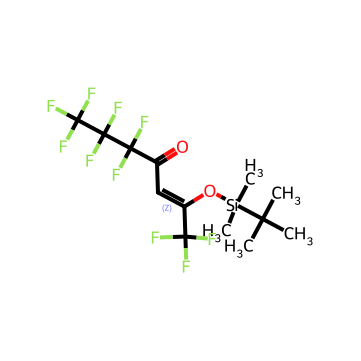 CC(C)(C)[Si](C)(C)O/C(=C\C(=O)C(F)(F)C(F)(F)C(F)(F)F)C(F)(F)F